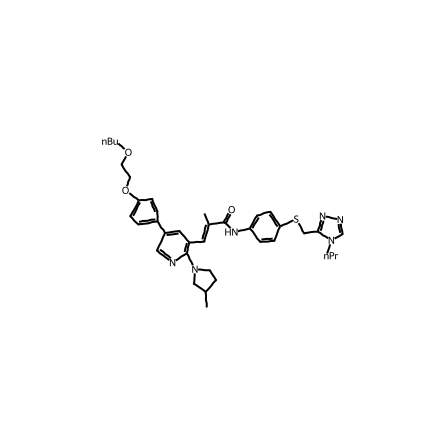 CCCCOCCOc1ccc(-c2cnc(N3CCC(C)C3)c(/C=C(\C)C(=O)Nc3ccc(SCc4nncn4CCC)cc3)c2)cc1